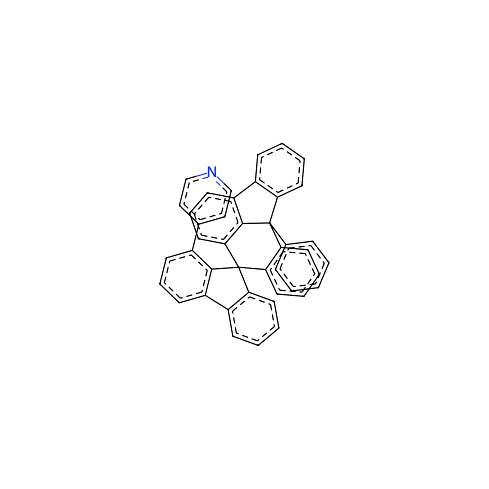 c1ccc(C23c4ccccc4-c4cccc(c42)C2(c4ccccc4-c4cccc(-c5ccncc5)c42)c2ccccc23)cc1